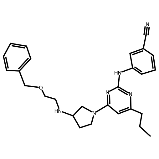 CCCc1cc(N2CCC(NCCOCc3ccccc3)C2)nc(Nc2cccc(C#N)c2)n1